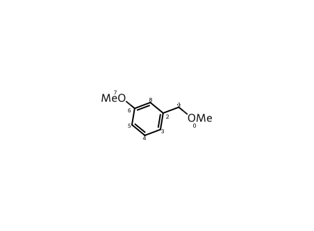 CO[C]c1cccc(OC)c1